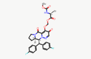 CC(C)[C@H](NC(=O)OC(C)(C)C)C(=O)OCOc1c2n(ncc1=O)[C@@H](C(c1ccc(F)cc1)c1ccc(F)cc1)[C@H]1CCCN1C2=O